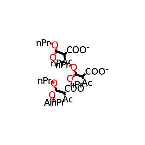 CCCOC(OCCC)C(C(C)=O)C(=O)[O-].CCCOC(OCCC)C(C(C)=O)C(=O)[O-].CCCOC(OCCC)C(C(C)=O)C(=O)[O-].[Al+3]